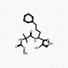 CCCc1c[nH]nc1C(CCCc1ccccc1)NC(=O)C(C)(C)NC(=O)OC(C)(C)C